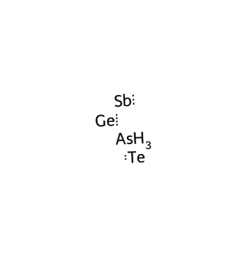 [AsH3].[Ge].[Sb].[Te]